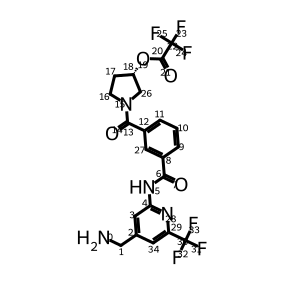 NCc1cc(NC(=O)c2cccc(C(=O)N3CC[C@H](OC(=O)C(F)(F)F)C3)c2)nc(C(F)(F)F)c1